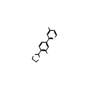 Cc1ccnc(-c2ccc(C3OCCO3)c([N+](=O)[O-])c2)c1